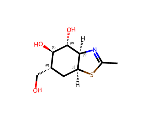 CC1=N[C@@H]2[C@@H](O)[C@H](O)[C@@H](CO)C[C@@H]2S1